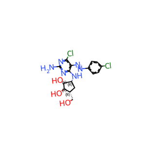 Nc1nc(Cl)c(/N=N/c2ccc(Cl)cc2)c(N[C@@H]2C[C@H](CO)[C@@H](O)[C@H]2O)n1